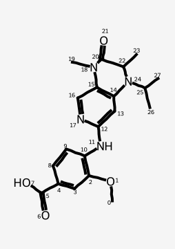 COc1cc(C(=O)O)ccc1Nc1cc2c(cn1)N(C)C(=O)C(C)N2C(C)C